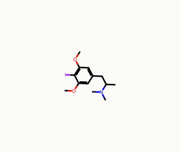 COc1cc(CC(C)N(C)C)cc(OC)c1I